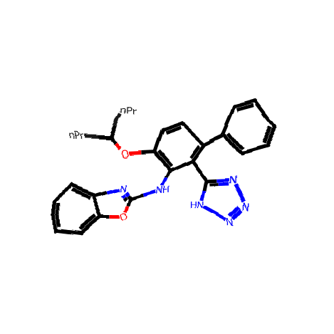 CCCC(CCC)Oc1ccc(-c2ccccc2)c(-c2nnn[nH]2)c1Nc1nc2ccccc2o1